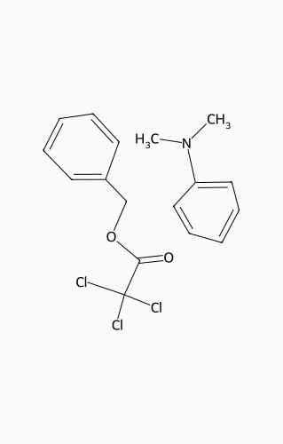 CN(C)c1ccccc1.O=C(OCc1ccccc1)C(Cl)(Cl)Cl